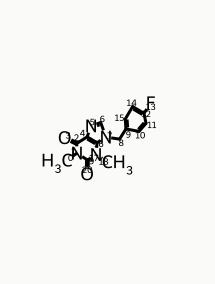 Cn1c(=O)c2ncn(Cc3ccc(F)cc3)c2n(C)c1=O